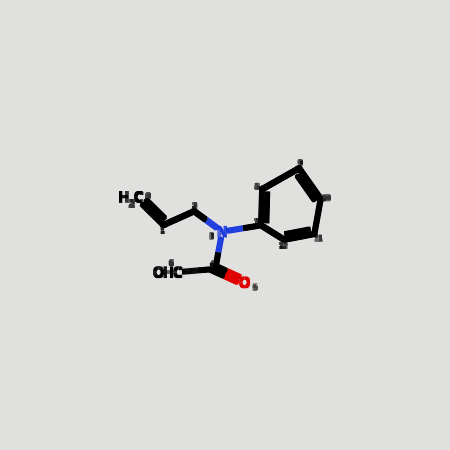 C=CCN(C(=O)C=O)c1ccccc1